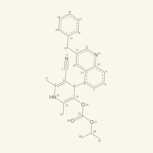 CC1=C(C#N)C(c2cccc3ncc(Cc4ccccc4)cc23)C(OC(=O)OC(C)C)=C(C)N1